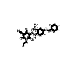 CCCN1C(=O)C(C#N)=C(C)/C(=N/Nc2ccc(OCc3ccccc3)cc2[N+](=O)[O-])C1=O